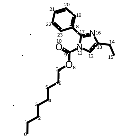 CCCCCCCCOC(=O)n1cc(CC)nc1-c1ccccc1